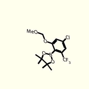 COCOc1cc(Cl)cc(C(F)(F)F)c1B1OC(C)(C)C(C)(C)O1